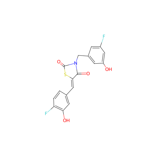 O=C1S/C(=C\c2ccc(F)c(O)c2)C(=O)N1Cc1cc(O)cc(F)c1